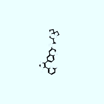 Cc1cccc(-c2[nH]cnc2-c2ccc3ncc(NC(=O)C4CN5CCC56CCN46)cc3c2)n1